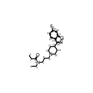 CCC(=O)N(CC)CCCN1CCC(c2noc3cc(F)ccc23)CC1